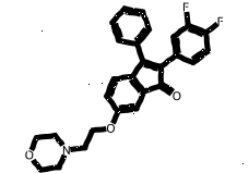 O=C1C(c2ccc(F)c(F)c2)=C(c2ccccc2)c2ccc(OCCN3CCOCC3)cc21